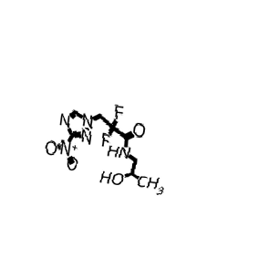 CC(O)CNC(=O)C(F)(F)Cn1cnc([N+](=O)[O-])n1